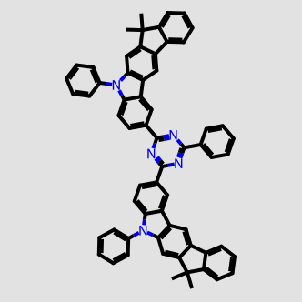 CC1(C)c2ccccc2-c2cc3c4cc(-c5nc(-c6ccccc6)nc(-c6ccc7c(c6)c6cc8c(cc6n7-c6ccccc6)C(C)(C)c6ccccc6-8)n5)ccc4n(-c4ccccc4)c3cc21